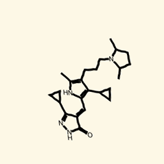 Cc1[nH]c(/C=C2/C(=O)NN=C2C2CC2)c(C2CC2)c1CCCN1C(C)CCC1C